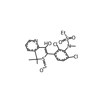 CCS(=O)(=O)N(C)c1c(Cl)ccc(C2=C(O)c3ncccc3C(C)(C)S2=S=O)c1Cl